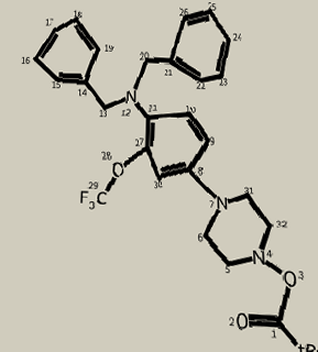 CC(C)(C)C(=O)ON1CCN(c2ccc(N(Cc3ccccc3)Cc3ccccc3)c(OC(F)(F)F)c2)CC1